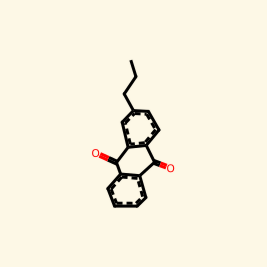 CCCc1ccc2c(c1)C(=O)c1ccccc1C2=O